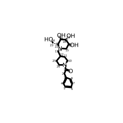 O=C(Cc1ccccc1)N1CCC(CN2C[C@H](O)[C@@H](O)[C@H](O)[C@H]2CO)CC1